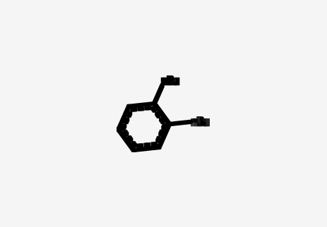 CCCCc1ccccc1CCCC